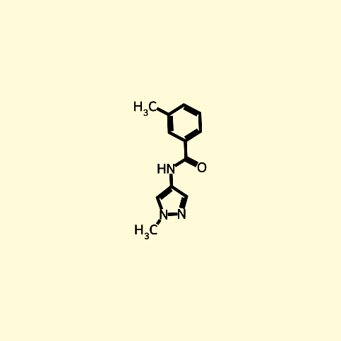 Cc1cccc(C(=O)Nc2cnn(C)c2)c1